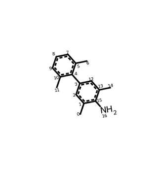 Cc1cc(-c2c(C)cccc2C)cc(C)c1N